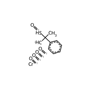 [CH]C(C)(S)c1ccccc1.[C]=O.[C]=O.[C]=O.[C]=O.[C]=O.[Cr]